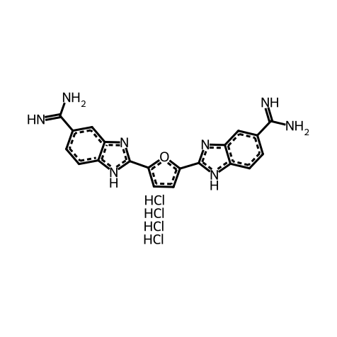 Cl.Cl.Cl.Cl.N=C(N)c1ccc2[nH]c(-c3ccc(-c4nc5cc(C(=N)N)ccc5[nH]4)o3)nc2c1